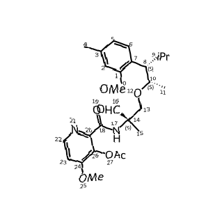 COc1cc(C)ccc1[C@H](C(C)C)[C@H](C)OC[C@@](C)(C=O)NC(=O)c1nccc(OC)c1OC(C)=O